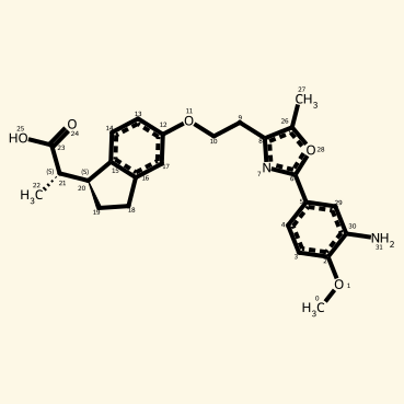 COc1ccc(-c2nc(CCOc3ccc4c(c3)CC[C@H]4[C@H](C)C(=O)O)c(C)o2)cc1N